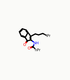 CCCC(=O)NC1=C(CCCC(C)C)c2ccccc2C1=O